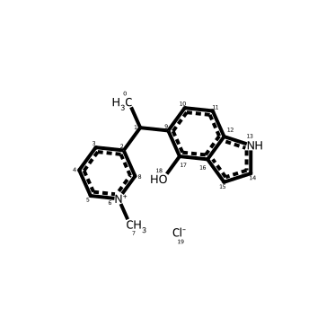 CC(c1ccc[n+](C)c1)c1ccc2[nH]ccc2c1O.[Cl-]